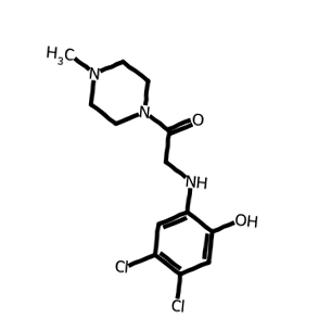 CN1CCN(C(=O)CNc2cc(Cl)c(Cl)cc2O)CC1